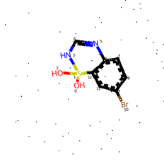 OS1(O)N[C]=Nc2ccc(Br)cc21